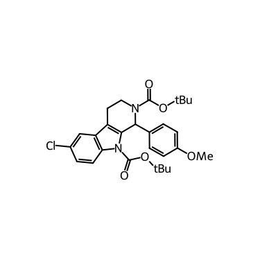 COc1ccc(C2c3c(c4cc(Cl)ccc4n3C(=O)OC(C)(C)C)CCN2C(=O)OC(C)(C)C)cc1